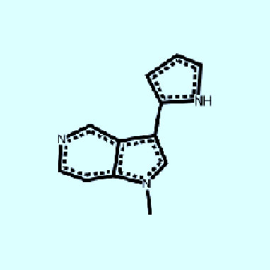 Cn1cc(-c2ccc[nH]2)c2cnccc21